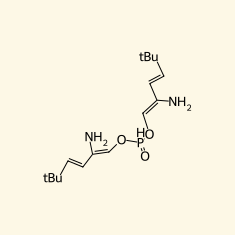 CC(C)(C)C=CC(N)=CO[PH](=O)OC=C(N)C=CC(C)(C)C